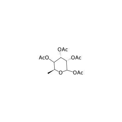 CC(=O)OC1O[C@@H](C)C(OC(C)=O)[C@H](OC(C)=O)[C@@H]1OC(C)=O